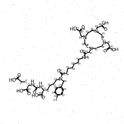 O=C(O)CC[C@H](NC(=O)N[C@@H](CCCCN(Cc1ccc(I)cc1)C(=O)CCCCCCNC(=O)CN1CCN(CC(=O)O)CCN(CC(=O)O)CCN(CC(=O)O)CC1)C(=O)O)C(=O)O